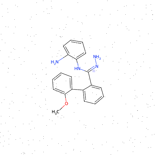 COc1ccccc1-c1ccccc1/C(=N/N)Nc1ccccc1N